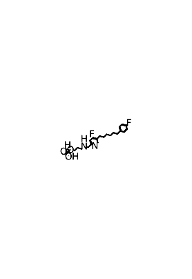 O=[PH](O)OCCCNCc1cc(F)c(CCCCCCc2ccc(F)cc2)cn1